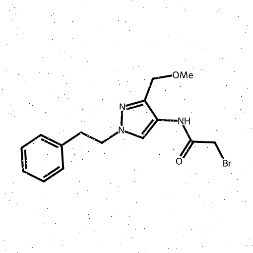 COCc1nn(CCc2ccccc2)cc1NC(=O)CBr